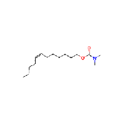 CCCC/C=C\CCCCCCOC(=O)N(C)C